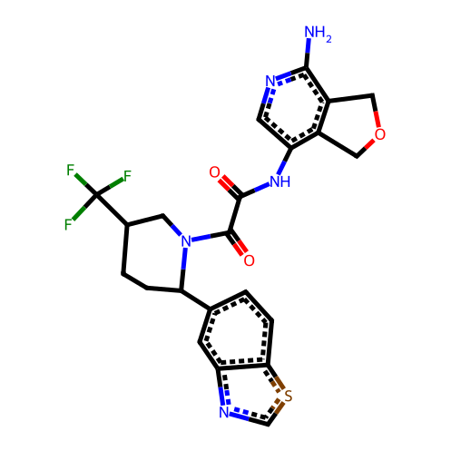 Nc1ncc(NC(=O)C(=O)N2CC(C(F)(F)F)CCC2c2ccc3scnc3c2)c2c1COC2